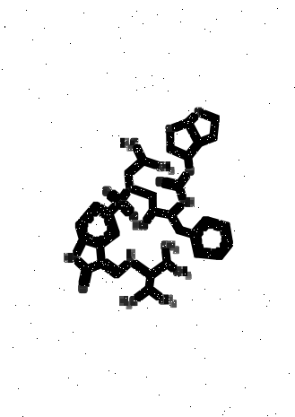 CC(C)CN(CC(O)C(Cc1ccccc1)NC(=O)OC1COC2OCCC12)S(=O)(=O)c1ccc2c(c1)/C(=C\NC(C(C)C)C(C)C)C(=O)N2